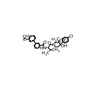 COc1cccc(-c2cccc(C(=O)N[C@@H](C(=O)N3CC[C@](O)(c4ccc(Cl)cc4)C(C)(C)C3)C(C)C)c2)c1